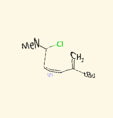 C=C(/C=C\C(Cl)NC)C(C)(C)C